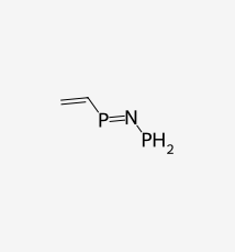 C=CP=NP